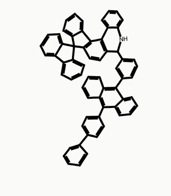 c1ccc(-c2ccc(-c3c4ccccc4c(-c4cccc(C5Nc6ccccc6-c6c5ccc5c6-c6ccccc6C56c5ccccc5-c5ccccc56)c4)c4ccccc34)cc2)cc1